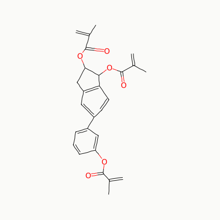 C=C(C)C(=O)Oc1cccc(-c2ccc3c(c2)CC(OC(=O)C(=C)C)C3OC(=O)C(=C)C)c1